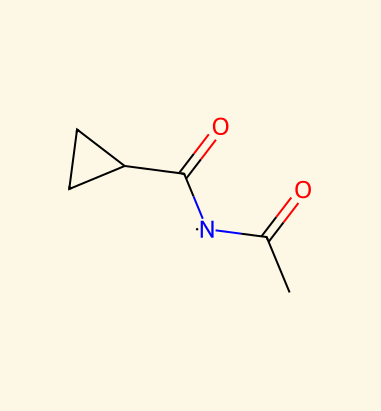 CC(=O)[N]C(=O)C1CC1